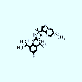 CO[C@H]1COC2C(S(=O)(=O)NC(=O)Nc3c(C(C)C)cc(F)cc3C(C)C)C=NN2C1